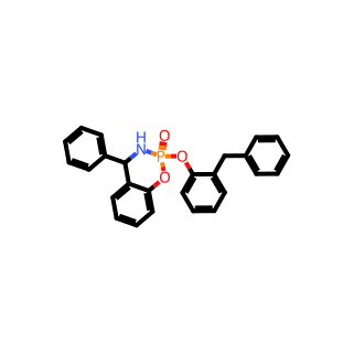 O=P1(Oc2ccccc2Cc2ccccc2)NC(c2ccccc2)c2ccccc2O1